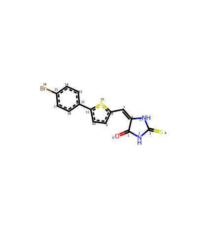 O=C1NC(=S)NC1=Cc1ccc(-c2ccc(Br)cc2)s1